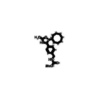 COC(=O)NCc1ccc(C2NC(C)ON2C2CCCCCCC2)cc1